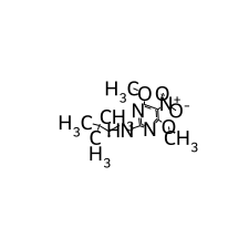 COc1nc(NC[CH]C(C)(C)C)nc(OC)c1[N+](=O)[O-]